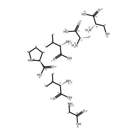 CC(C)[C@H](N)C(=O)O.CC(C)[C@H](N)C(=O)O.C[C@H](N)C(=O)O.NCC(=O)O.N[C@@H](CS)C(=O)O.O=C(O)[C@@H]1CCCN1